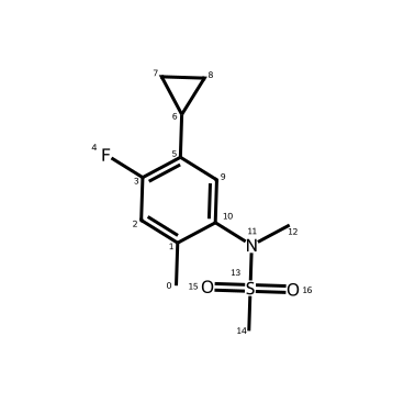 Cc1cc(F)c(C2CC2)cc1N(C)S(C)(=O)=O